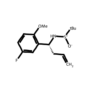 C=CC[C@@H](N[S+]([O-])C(C)(C)C)c1cc(F)ccc1OC